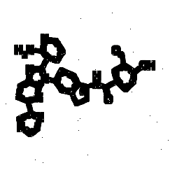 Nc1ncccc1-c1nc2ccc(-c3cnccn3)nc2n1-c1ccc2c(c1)CC[C@@H]2NC(=O)c1ccc(O)c(C=O)c1